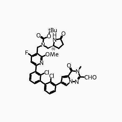 COc1nc(-c2cccc(-c3cccc(-c4cc5c(=O)n(C)c(C=O)nn5c4)c3Cl)c2Cl)cc(F)c1CN(C[C@@H]1CCC(=O)N1)C(=O)OC(C)(C)C